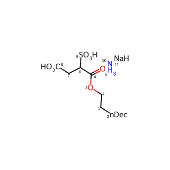 CCCCCCCCCCCCOC(=O)C(CC(=O)O)S(=O)(=O)O.N.[NaH]